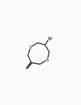 C=C1CSCC(Br)CSC1